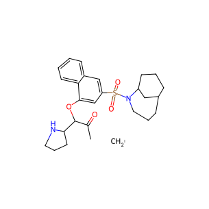 CC(=O)C(Oc1cc(S(=O)(=O)N2CCCC3CCCC2C3)cc2ccccc12)C1CCCN1.[CH2]